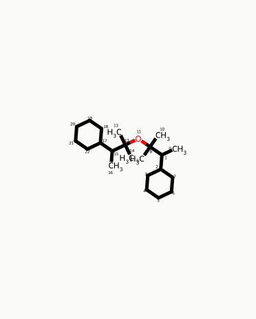 CC(C1CCCCC1)C(C)(C)OC(C)(C)C(C)C1CCCCC1